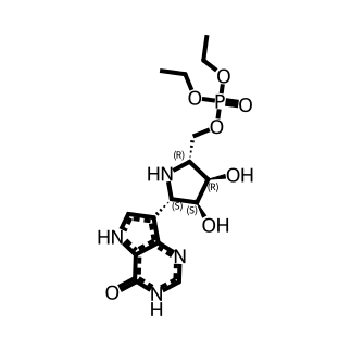 CCOP(=O)(OCC)OC[C@H]1N[C@@H](c2c[nH]c3c(=O)[nH]cnc23)[C@H](O)[C@@H]1O